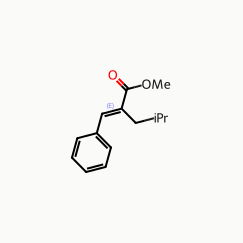 COC(=O)/C(=C/c1ccccc1)CC(C)C